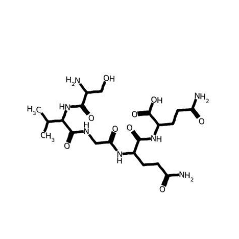 CC(C)C(NC(=O)C(N)CO)C(=O)NCC(=O)NC(CCC(N)=O)C(=O)NC(CCC(N)=O)C(=O)O